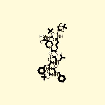 CC(C)C[C@@H](NC(=O)[C@@H](Cc1ccccc1)NC(=O)[C@@H](Cc1ccccc1)NC(=O)OC(C)(C)C)C(=O)N[C@H](CCCCNC[C@@H]1COC(C)(C)O1)C(=O)N1CCC(NC(=O)OC(C)(C)C)(C(=O)O)CC1